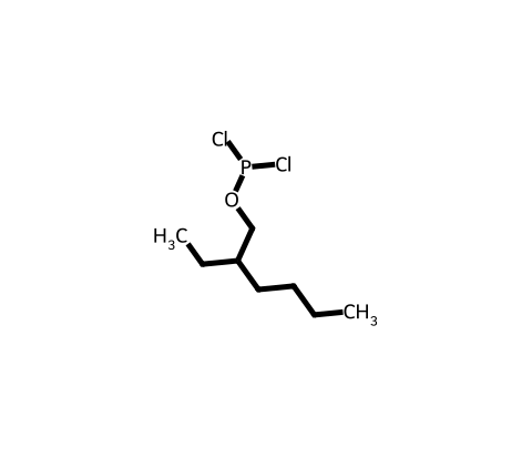 CCCCC(CC)COP(Cl)Cl